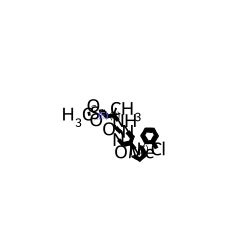 COc1nc(C(=O)N[C@H](C)/C=C/S(C)(=O)=O)ncc1N1CCC[C@H]1c1ccccc1Cl